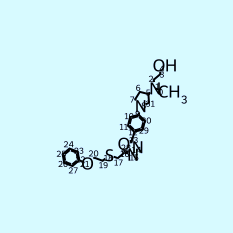 CN(CCO)C1CCN(c2ccc(-c3nnc(CSCCOc4ccccc4)o3)cc2)C1